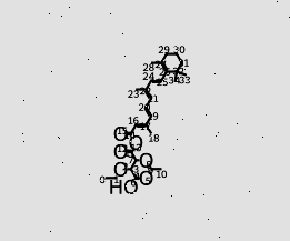 CCOC(C(=O)O)C(OCC)C(=O)OC(=O)C=C(C)C=CC=C(C)C=CC1=C(C)CCCC1(C)C